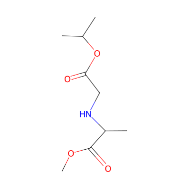 COC(=O)C(C)NCC(=O)OC(C)C